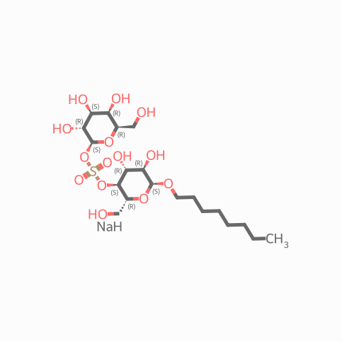 CCCCCCCCO[C@H]1O[C@H](CO)[C@@H](OS(=O)(=O)O[C@@H]2O[C@H](CO)[C@H](O)[C@H](O)[C@H]2O)[C@H](O)[C@H]1O.[NaH]